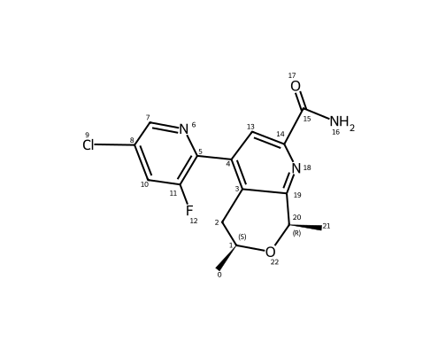 C[C@H]1Cc2c(-c3ncc(Cl)cc3F)cc(C(N)=O)nc2[C@@H](C)O1